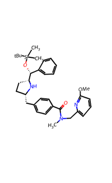 COc1cccc(CN(C)C(=O)c2ccc(C[C@@H]3CC[C@H]([C@H](O[Si](C)(C)C(C)(C)C)c4ccccc4)N3)cc2)n1